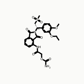 CCOc1cc([C@@H](CS(C)(=O)=O)N2C(=O)c3cccc(NC(=O)COC(N)=O)c3C2=O)ccc1OC